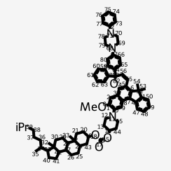 COc1cc2c3c(c4c(c2cc1N1CCC(OC(=O)OC2CCC5(C)C(CCC6C5CCC5(C)C(C(C)CCCC(C)C)CCC65)C2)CC1)-c1ccccc1C4(C)C)C=CC(c1ccccc1)(c1ccc(N2CCN(c4ccccc4)CC2)cc1)O3